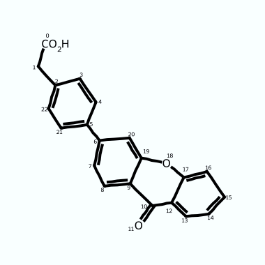 O=C(O)Cc1ccc(-c2ccc3c(=O)c4ccccc4oc3c2)cc1